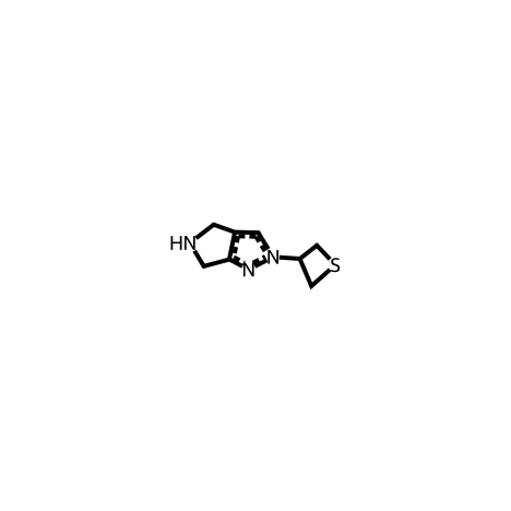 c1c2c(nn1C1CSC1)CNC2